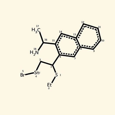 CCSC([CH2][Sn][Br])c1cc2ccccc2cc1C(C)N